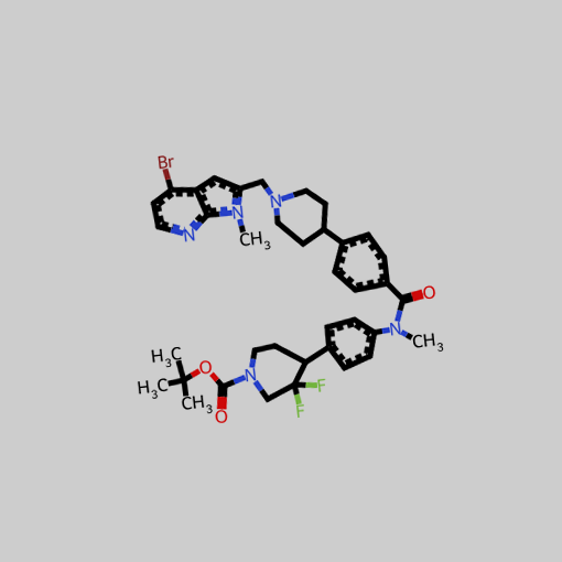 CN(C(=O)c1ccc(C2CCN(Cc3cc4c(Br)ccnc4n3C)CC2)cc1)c1ccc(C2CCN(C(=O)OC(C)(C)C)CC2(F)F)cc1